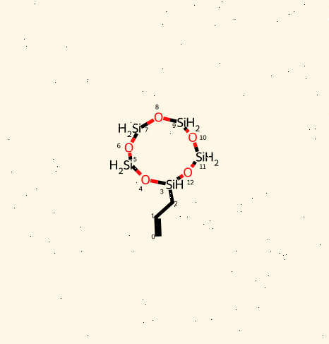 C=CC[SiH]1O[SiH2]O[SiH2]O[SiH2]O[SiH2]O1